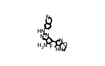 Cc1c(-c2cc3nc(Nc4ccc5c(c4)CN(C)CC5)ncc3c(N)c2F)cnc2c1NCCO2